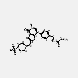 Cn1cc(-c2ccc(CNC(=O)OC(C)(C)C)cc2)c2sc(CN3CCN(S(C)(=O)=O)CC3)cc2c1=O